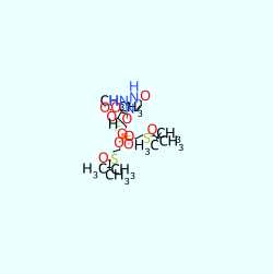 COC1O[C@H]2[C@@](C)(O1)[C@H](n1ccc(=O)[nH]c1=N)O[C@]2(F)COP(=O)(OCCSC(=O)C(C)(C)C)OCCSC(=O)C(C)(C)C